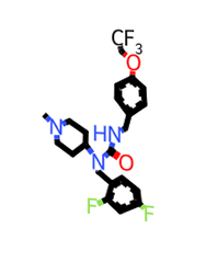 CN1CCC(N(Cc2ccc(F)cc2F)C(=O)NCc2ccc(OCC(F)(F)F)cc2)CC1